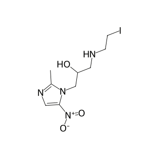 Cc1ncc([N+](=O)[O-])n1CC(O)CNCCI